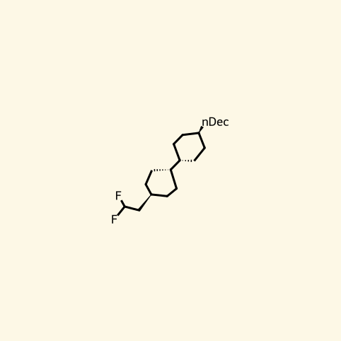 CCCCCCCCCC[C@H]1CC[C@H]([C@H]2CC[C@H](CC(F)F)CC2)CC1